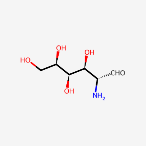 N[C@@H](C=O)[C@H](O)[C@@H](O)[C@H](O)CO